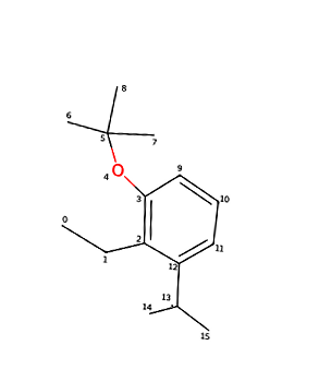 CCc1c(OC(C)(C)C)cccc1[C](C)C